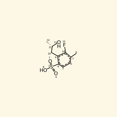 Cc1ccc(S(=O)(=O)O)c(C[C@H](C)O)c1F